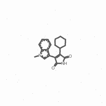 Cn1cc(C2=C(C3CCCCC3)C(=O)NC2=O)c2ccccc21